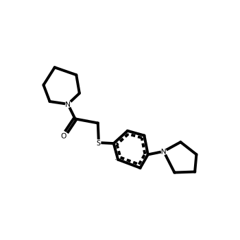 O=C(CSc1[c]cc(N2CCCC2)cc1)N1CCCCC1